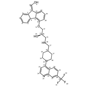 ON=C1c2ccccc2-c2c(OC[C@H](O)CNCC3CCN(c4ccnc5cc(C(F)(F)F)ccc45)CC3)cccc21